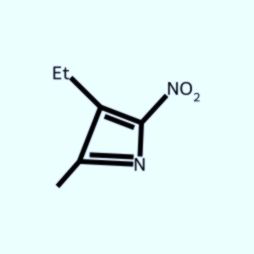 CCC1=C([N+](=O)[O-])N=C1C